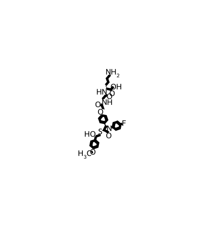 COc1ccc(C(O)CS[C@H]2C(=O)N(c3ccc(F)cc3)[C@@H]2c2ccc(OCC(=O)NCC(=O)N[C@H](CCCCN)C(=O)O)cc2)cc1